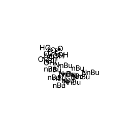 CCCCN(CCCC)CCCC.CCCCN(CCCC)CCCC.CCCCN(CCCC)CCCC.CCCCN(CCCC)CCCC.CCCCN(CCCC)CCCC.O=P(O)(O)OP(=O)(O)OP(=O)(O)O